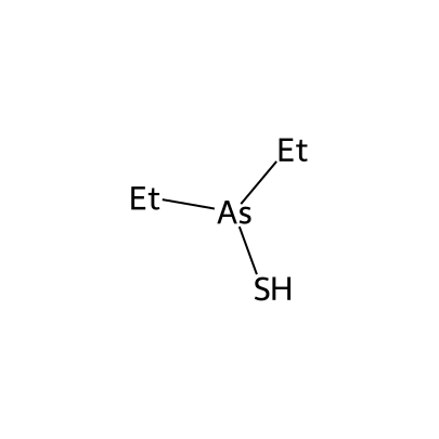 CC[As](S)CC